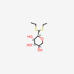 CCSC(SCC)[C@H]1OC[C@@H](O)[C@H](O)[C@@H]1O